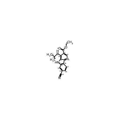 CCOC(=O)c1cnc2c([nH]c3cc(C#N)ccc32)c1NC(C)C